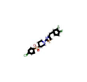 O=S(=O)(c1ccc(Cl)cc1)C1CCN(c2nc(Cc3ccc(F)c(F)c3)cs2)CC1